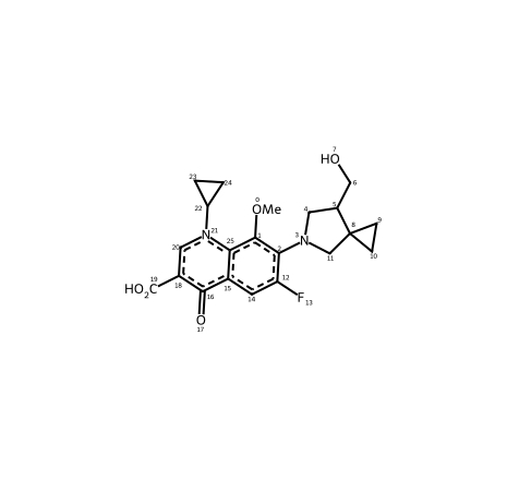 COc1c(N2CC(CO)C3(CC3)C2)c(F)cc2c(=O)c(C(=O)O)cn(C3CC3)c12